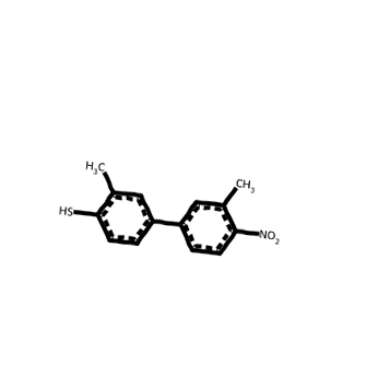 Cc1cc(-c2ccc([N+](=O)[O-])c(C)c2)ccc1S